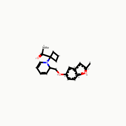 CNC(=O)C1(N2C=CC=CC2COc2ccc3oc(C)cc3c2)CCC1